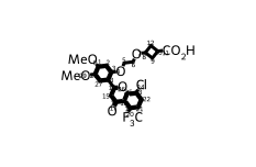 COc1cc(OCCOC2CC(C(=O)O)C2)c(-c2cc(=O)c3c(C(F)(F)F)ccc(Cl)c3o2)cc1OC